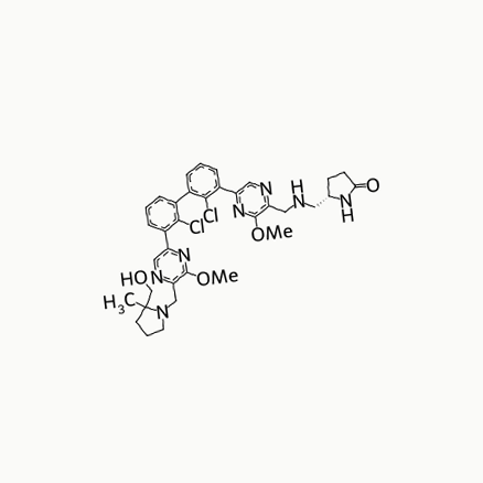 COc1nc(-c2cccc(-c3cccc(-c4cnc(CN5CCCC5(C)CO)c(OC)n4)c3Cl)c2Cl)cnc1CNC[C@@H]1CCC(=O)N1